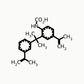 C=C(C)c1cccc(C(C)(C)c2cc(C(=C)C)ccc2NC(=O)O)c1